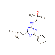 C[C@@H](CCc1nc(NCC(C)(C)O)nc(C2=CCCCC2)n1)C(F)(F)F